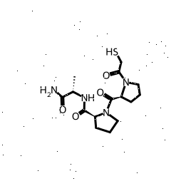 C[C@H](NC(=O)[C@@H]1CCCN1C(=O)[C@@H]1CCCN1C(=O)CS)C(N)=O